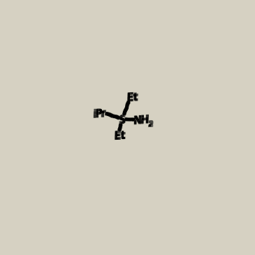 CCS(N)(CC)C(C)C